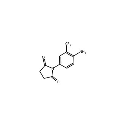 Nc1ccc(N2C(=O)CCC2=O)cc1C(F)(F)F